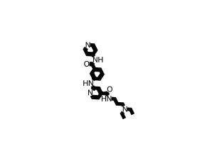 CCN(CC)CCCNC(=O)c1ccnc(Nc2cccc(C(=O)Nc3ccncc3)c2)c1